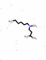 CCCCCCN(C)CCC(C)C